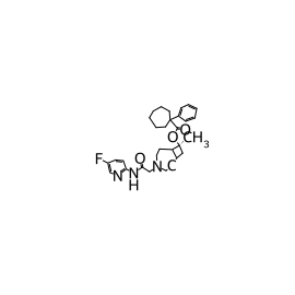 C[C@]1(OC(=O)C2(c3ccccc3)CCCCCC2)CC2CCN(CC(=O)Nc3ccc(F)cn3)CCC21